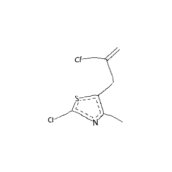 C=C(Cl)Cc1sc(Cl)nc1C